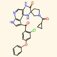 O=C(c1ccc(Oc2ccccc2)cc1Cl)c1c[nH]c2ncc3c(c12)NC1(CCN(C(=O)C2CC2)C1)C(=O)N3